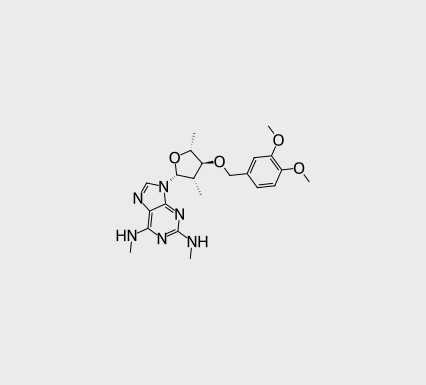 CNc1nc(NC)c2ncn([C@@H]3O[C@H](C)[C@@H](OCc4ccc(OC)c(OC)c4)[C@@H]3C)c2n1